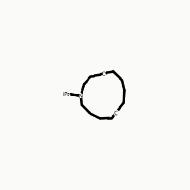 CC(C)N1CCCCCCCCCCCC1